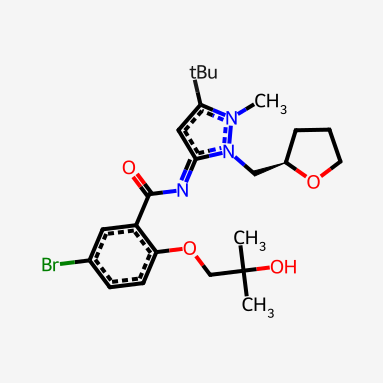 Cn1c(C(C)(C)C)c/c(=N\C(=O)c2cc(Br)ccc2OCC(C)(C)O)n1C[C@H]1CCCO1